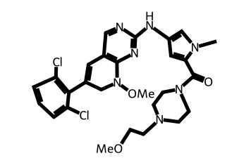 COCCN1CCN(C(=O)c2cc(Nc3ncc4c(n3)N(OC)CC(c3c(Cl)cccc3Cl)=C4)cn2C)CC1